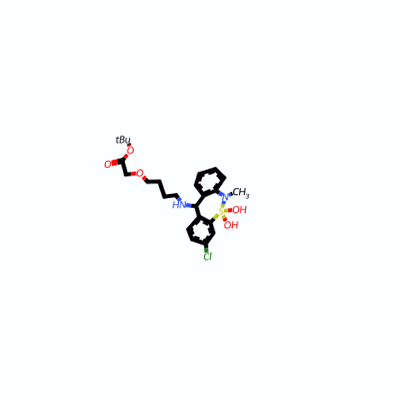 CN1c2ccccc2C(NCCCCOCC(=O)OC(C)(C)C)c2ccc(Cl)cc2S1(O)O